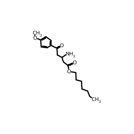 CCCCCCCOC(=O)CC(N)CC(=O)c1ccc(OC)cc1